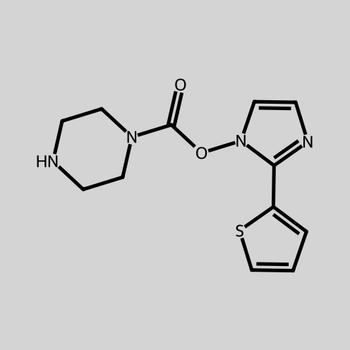 O=C(On1ccnc1-c1cccs1)N1CCNCC1